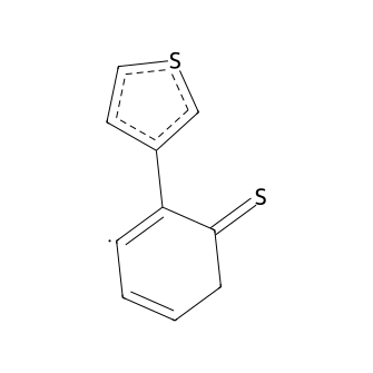 S=C1CC=C[C]=C1c1ccsc1